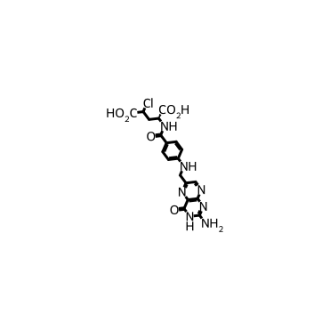 Nc1nc2ncc(CNc3ccc(C(=O)N[C@@H](CC(Cl)C(=O)O)C(=O)O)cc3)nc2c(=O)[nH]1